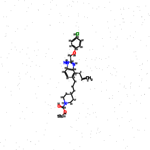 C=CCc1c(CCCC2CCN(C(=O)OC(C)(C)C)CC2)ccc2[nH]c(COc3ccc(Cl)cc3)nc12